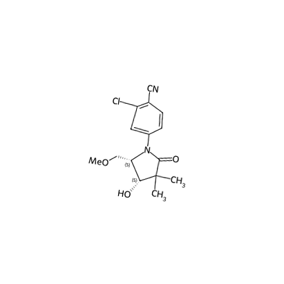 COC[C@H]1[C@@H](O)C(C)(C)C(=O)N1c1ccc(C#N)c(Cl)c1